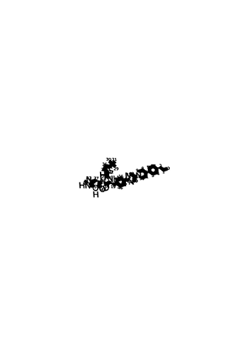 CCC[C@H]1CC[C@H](C2CCN(c3cnc(-c4ccc(C[C@H](NC(=O)c5ccc(C(C)(C)C)s5)C(=O)N[C@H](Cc5c[nH]cn5)C(=O)O)cc4)nc3)CC2)CC1